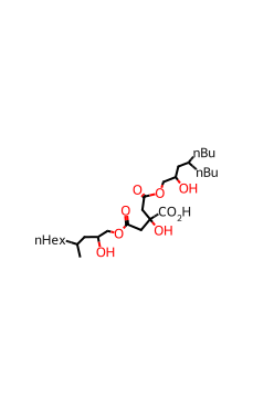 CCCCCCC(C)CC(O)COC(=O)CC(O)(CC(=O)OCC(O)CC(CCCC)CCCC)C(=O)O